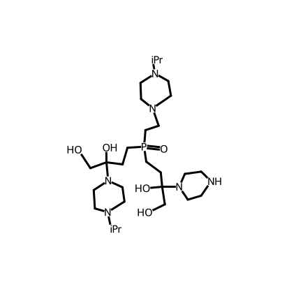 CC(C)N1CCN(CCP(=O)(CCC(O)(CO)N2CCNCC2)CCC(O)(CO)N2CCN(C(C)C)CC2)CC1